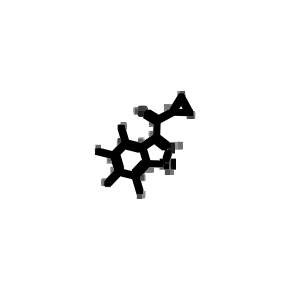 Cc1c(C)c(C)c2c(C(=O)C3CC3)n[nH]c2c1C